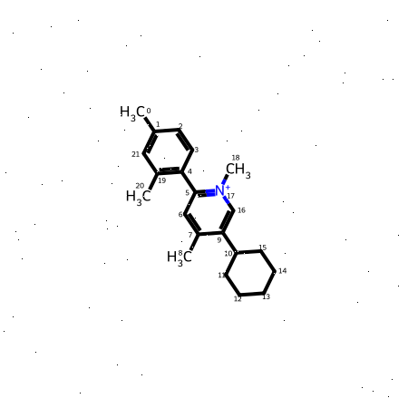 Cc1ccc(-c2cc(C)c(C3CCCCC3)c[n+]2C)c(C)c1